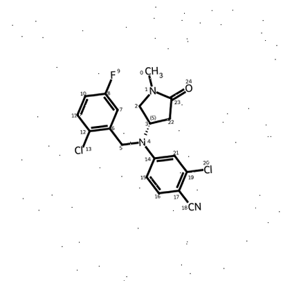 CN1C[C@@H](N(Cc2cc(F)ccc2Cl)c2ccc(C#N)c(Cl)c2)CC1=O